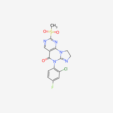 CS(=O)(=O)c1ncc2c(n1)N1CCN=C1N(c1ccc(F)cc1Cl)C2=O